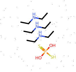 CCNCC.CCNCC.CCNCC.OP(O)(=S)S